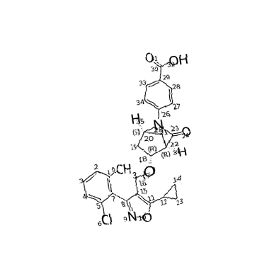 Cc1cccc(Cl)c1-c1noc(C2CC2)c1CO[C@@H]1C[C@@H]2C[C@H]1C(=O)N2c1ccc(C(=O)O)cc1